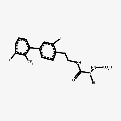 CCN(NC(=O)O)C(=O)NCCc1ccc(-c2cccc(F)c2C(F)(F)F)cc1F